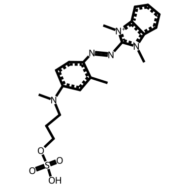 Cc1cc(N(C)CCCOS(=O)(=O)O)ccc1N=Nc1n(C)c2ccccc2[n+]1C